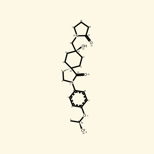 C[C@@H](Oc1ccc(N2CC[C@]3(CC[C@@](O)(CN4CCCC4=O)CC3)C2=O)cc1)C(F)(F)F